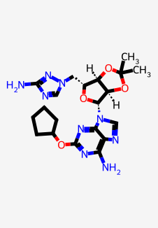 CC1(C)O[C@@H]2[C@H](O1)[C@@H](Cn1cnc(N)n1)O[C@H]2n1cnc2c(N)nc(OC3CCCC3)nc21